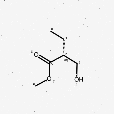 CC[C@H](CO)C(=O)OC